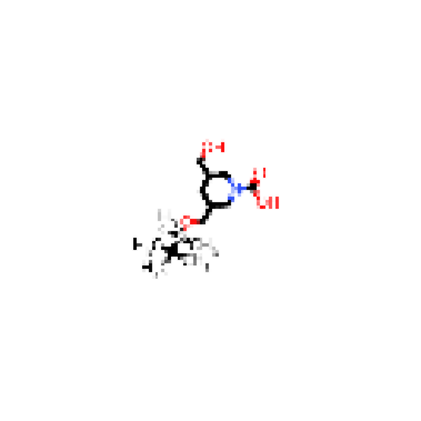 CC(C)(C)[Si](C)(C)OCC1CC(CO)CN(C(=O)O)C1